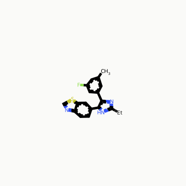 CCc1nc(-c2cc(C)cc(F)c2)c(-c2ccc3ncsc3c2)[nH]1